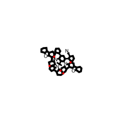 CC(C)(c1c(-n2c3ccccc3c3c4oc5ccccc5c4ccc32)c(-c2ccccc2C#N)cc(-c2ccccc2C#N)c1-n1c2ccccc2c2c3oc4ccccc4c3ccc21)n1c2ccccc2c2ccccc21